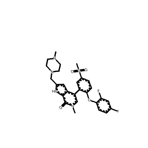 CN1CCN(Cc2cc3c(-c4cc(S(C)(=O)=O)ccc4Oc4ccc(F)cc4F)cn(C)c(=O)c3[nH]2)CC1